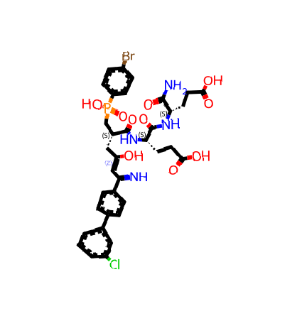 N=C(/C=C(\O)C[C@H](CP(=O)(O)c1ccc(Br)cc1)C(=O)N[C@@H](CCC(=O)O)C(=O)N[C@@H](CCC(=O)O)C(N)=O)c1ccc(-c2cccc(Cl)c2)cc1